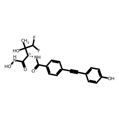 CC(O)(C(F)F)[C@H](NC(=O)c1ccc(C#Cc2ccc(O)cc2)cc1)C(=O)NO